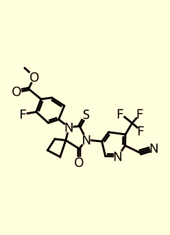 COC(=O)c1ccc(N2C(=S)N(c3cnc(C#N)c(C(F)(F)F)c3)C(=O)C23CCC3)cc1F